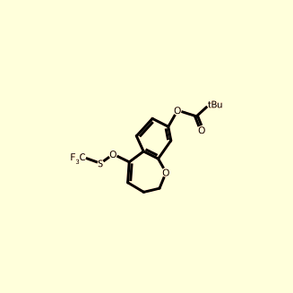 CC(C)(C)C(=O)Oc1ccc2c(c1)OCCC=C2OSC(F)(F)F